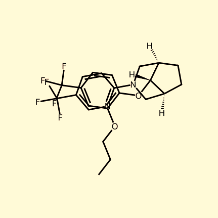 CCCOc1cc(C(F)(F)F)ccc1O[C@@H]1[C@@H]2CC[C@H]1CN(c1ccc(C(F)(F)F)cn1)C2